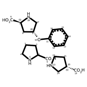 O=C(O)C1CCCN1.O=C(O)[C@@H]1C[C@@H](Oc2ccccc2)CN1.O=C(O)[C@H]1CCNC1